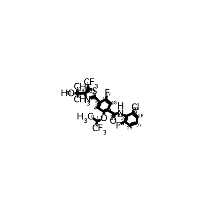 CC(Oc1cc(-c2nc(C(C)(C)O)c(C(F)(F)F)s2)c(F)cc1C(=O)Nc1c(F)cccc1Cl)C(F)(F)F